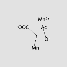 CC(=O)[O-].O=C([O-])[CH2][Mn].[Mn+2]